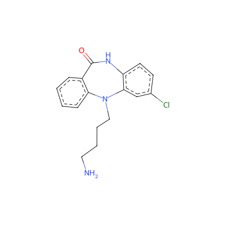 NCCCCN1c2cc(Cl)ccc2NC(=O)c2ccccc21